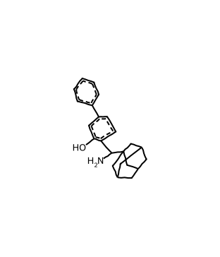 NC(c1ccc(-c2ccccc2)cc1O)C12CC3CC(CC(C3)C1)C2